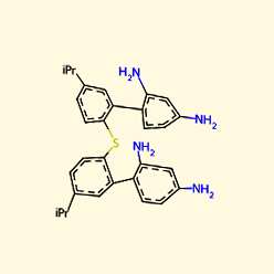 CC(C)c1ccc(Sc2ccc(C(C)C)cc2-c2ccc(N)cc2N)c(-c2ccc(N)cc2N)c1